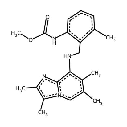 COC(=O)Nc1cccc(C)c1CNc1c(C)c(C)cn2c(C)c(C)nc12